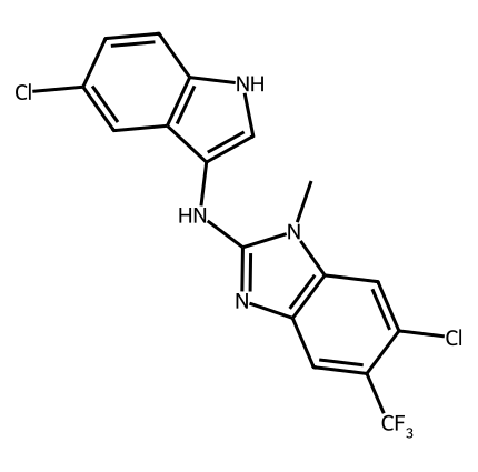 Cn1c(Nc2c[nH]c3ccc(Cl)cc23)nc2cc(C(F)(F)F)c(Cl)cc21